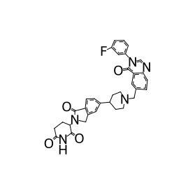 O=C1CCC(N2Cc3cc(C4CCN(Cc5ccc6ncn(-c7cccc(F)c7)c(=O)c6c5)CC4)ccc3C2=O)C(=O)N1